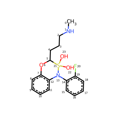 CNCCCC1Oc2ccccc2N(c2ccccc2F)S1(O)O